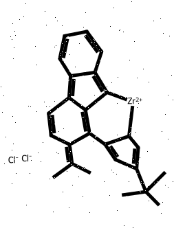 CC(C)=c1ccc2c(c1C1=CC(C(C)(C)C)=CC1C)[C]([Zr+2])=c1ccccc1=2.[Cl-].[Cl-]